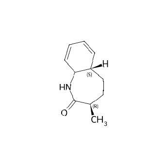 C[C@@H]1CC[C@H]2C=CC=CC2NC1=O